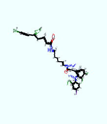 O=C(CCCC(Cl)C#CBr)NCCCCCCNC(=O)c1ccc(F)c(F)c1Nc1ccc(I)cc1F